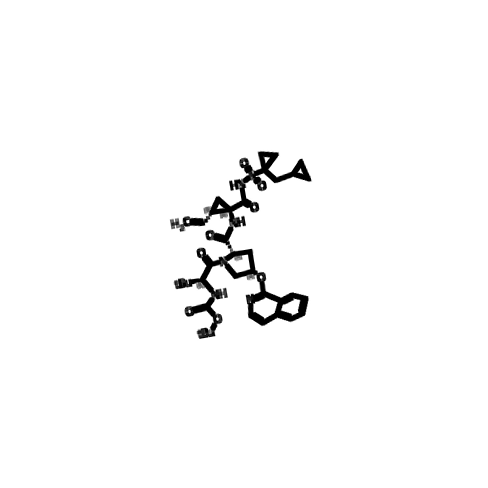 C=C[C@@H]1C[C@]1(NC(=O)[C@@H]1C[C@@H](Oc2nccc3ccccc23)CN1C(=O)[C@@H](NC(=O)OC(C)(C)C)C(C)(C)C)C(=O)NS(=O)(=O)C1(CC2CC2)CC1